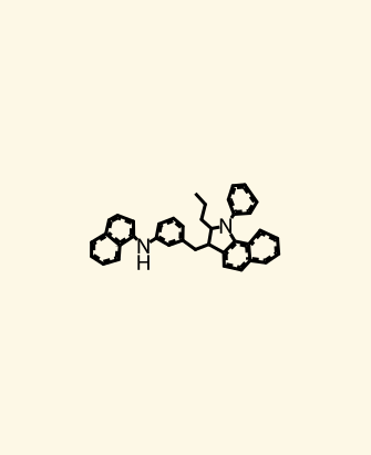 CCCC1C(Cc2cccc(Nc3cccc4ccccc34)c2)c2ccc3ccccc3c2N1c1ccccc1